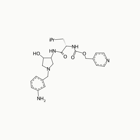 CC(C)C[C@H](NC(=O)OCc1ccncc1)C(=O)NC1CN(Cc2cccc(N)c2)CC1O